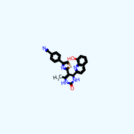 CC1=C(c2nc(-c3ccc(C#N)cc3)cs2)C(c2ccc3cccc(O)c3n2)NC(=O)N1